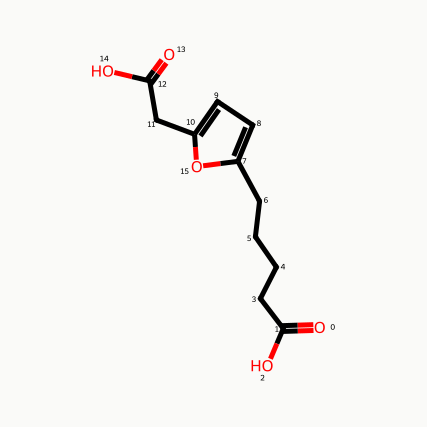 O=C(O)CCCCc1ccc(CC(=O)O)o1